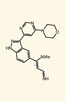 CN/C(=C\C=N)c1ccc2[nH]nc(-c3cc(N4CCOCC4)ncn3)c2c1